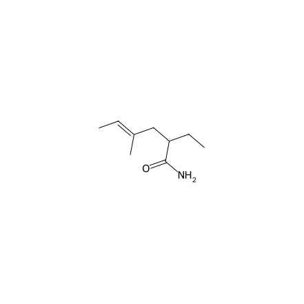 C/C=C(\C)CC(CC)C(N)=O